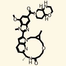 COc1cc(C(=O)N2CC[C@H]3OCCN[C@H]3C2)cc2nc(-c3cc4ccc5nc4n3CC3C(C)C3COCCC(=O)N[C@@H]5C)n(C)c12